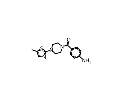 Cc1cnc(N2CCN(C(=O)c3ccc(N)cc3)CC2)s1